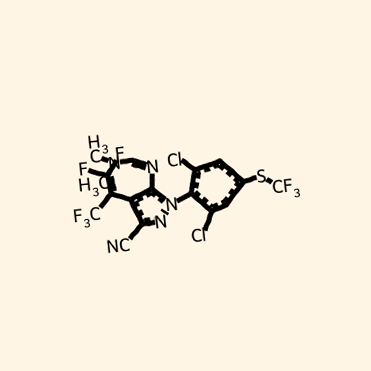 CN(C)/C=N\c1c(C(=C(F)F)C(F)(F)F)c(C#N)nn1-c1c(Cl)cc(SC(F)(F)F)cc1Cl